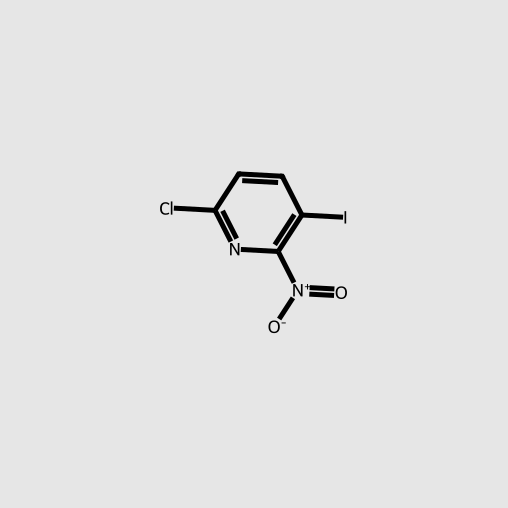 O=[N+]([O-])c1nc(Cl)ccc1I